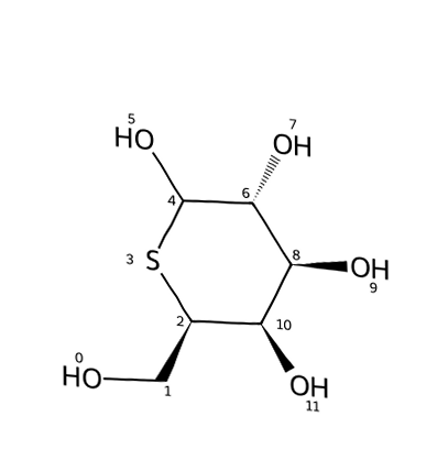 OC[C@H]1SC(O)[C@H](O)[C@@H](O)[C@H]1O